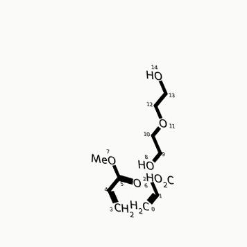 C=CC(=O)O.C=CC(=O)OC.OCCOCCO